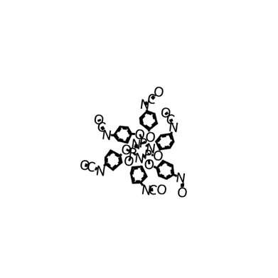 O=C=Nc1ccc(OP2(Oc3ccc(N=C=O)cc3)=NP(Oc3ccc(N=C=O)cc3)(Oc3ccc(N=C=O)cc3)=NP(Oc3ccc(N=C=O)cc3)(Oc3ccc(N=C=O)cc3)=N2)cc1